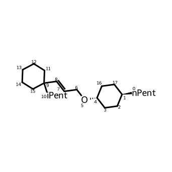 CCCCC[C@H]1CC[C@H](OC/C=C/C2(C(C)CCC)CCCCC2)CC1